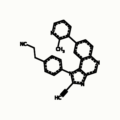 C#Cc1nc2cnc3ccc(-c4cccnc4C)cc3c2n1-c1ccc(CCC#N)cc1